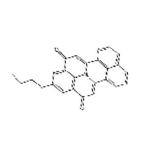 CCCCc1cc2c(=O)cc3c4cccc5cccc(c54)c4cc(=O)c(c1)c2n34